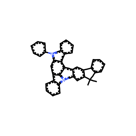 CC1(C)c2ccccc2-c2cc3c4c5c6ccccc6n(-c6ccccc6)c5cc5c6ccccc6n(c3cc21)c54